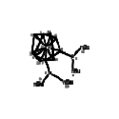 CCCCP(CCCC)[C]12[CH]3[CH]4[CH]5[C]1(P(CCCC)CCCC)[Cr]43521678[CH]2[CH]1[CH]6[CH]7[CH]28